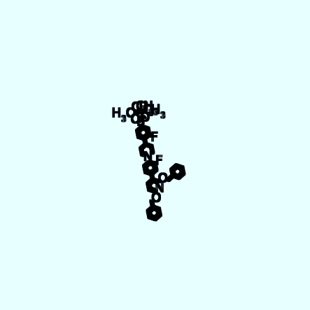 CC1(C)OB(c2ccc(C3CCN(c4ccc(-c5ccc(OCc6ccccc6)nc5OCc5ccccc5)cc4F)CC3)c(F)c2)OC1(C)C